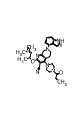 C=CC(=O)N1CCN(c2c(C#N)c(OC(C)CN(C)C)nc3c2CCN(c2cccc4[nH]ncc24)C3)CC1